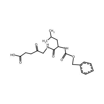 CC(C)CC(NC(=O)OCc1ccccc1)C(=O)NCC(=O)CCC(=O)O